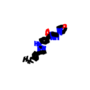 Cc1ccc(-c2ccnc(Nc3ccc(C(=O)NCCN4CCOCC4)cc3)n2)cc1